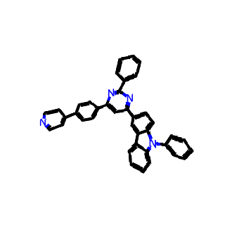 c1ccc(-c2nc(-c3ccc(-c4ccncc4)cc3)cc(-c3ccc4c(c3)c3ccccc3n4-c3ccccc3)n2)cc1